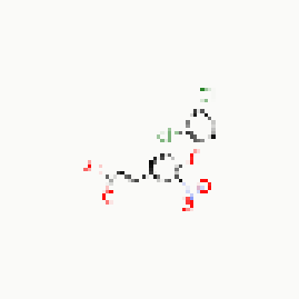 COC(=O)C=Cc1ccc(Oc2ccc(Cl)cc2Cl)c([N+](=O)[O-])c1